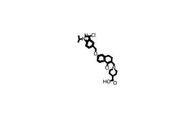 CC(C)n1nc(Cl)c2cc(COc3ccc4c(c3)CCC(CN3CCC(C(=O)O)CC3)=C4Cl)ccc21